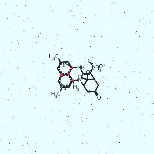 COC1(OC)C2CC(=O)CC1N(C(C)c1ccc(C)cc1)C(NC(C)c1ccc(C)cc1)=C2[N+](=O)[O-]